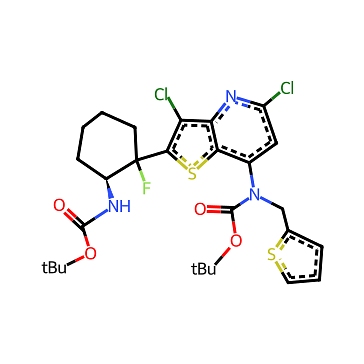 CC(C)(C)OC(=O)N[C@H]1CCCCC1(F)c1sc2c(N(Cc3cccs3)C(=O)OC(C)(C)C)cc(Cl)nc2c1Cl